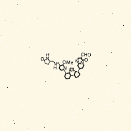 COc1nc(-c2cccc(-c3cccc(-c4ccn5c(=O)c(C=O)cnc5c4)c3Cl)c2Cl)ccc1CNCC1CCC(=O)N1